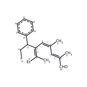 CC/C(C)=C(/C=C(C)\C=C(/C)C=O)C(CF)c1ccccc1